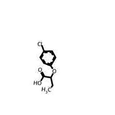 CCC(Oc1ccc(Cl)cc1)C(=O)O